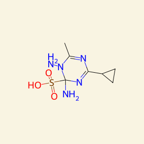 CC1=NC(C2CC2)=NC(N)(S(=O)(=O)O)N1N